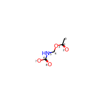 CC(=O)OCNC([O])=O